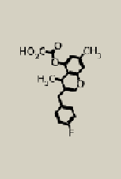 Cc1cc2c(c(OC(=O)C(=O)O)c1)C(C)C(Cc1ccc(F)cc1)=CO2